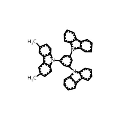 Cc1ccc2c(c1)c1cc(C)ccc1n2-c1cc(-n2c3ccccc3c3ccccc32)cc(-n2c3ccccc3c3ccccc32)c1